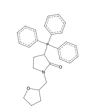 O=C1C([P](c2ccccc2)(c2ccccc2)c2ccccc2)CCN1CC1CCCO1